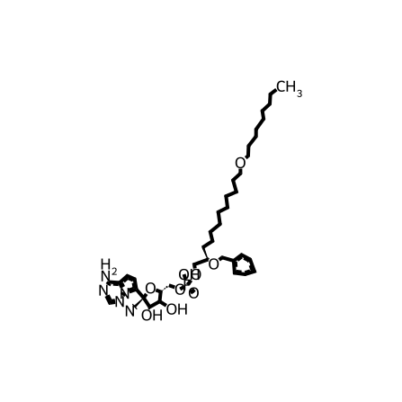 CCCCCCCCCOCCCCCCCCCC[C@H](COP(=O)(O)OC[C@H]1O[C@@](C#N)(c2ccc3c(N)ncnn23)[C@@H](O)C1O)OCc1ccccc1